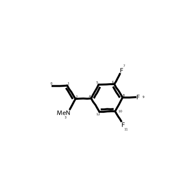 C/C=C(\NC)c1cc(F)c(F)c(F)c1